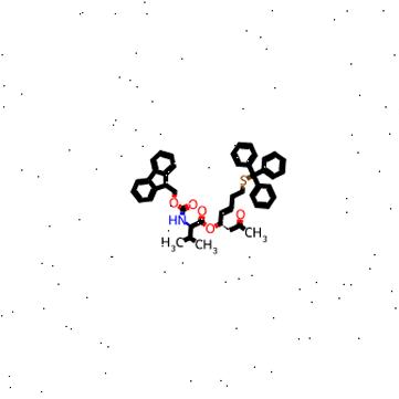 CC(=O)C[C@@H](/C=C/CCSC(c1ccccc1)(c1ccccc1)c1ccccc1)OC(=O)[C@H](NC(=O)OCC1c2ccccc2-c2ccccc21)C(C)C